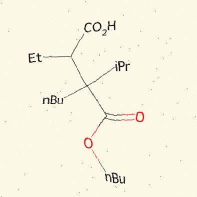 CCCCOC(=O)C(CCCC)(C(C)C)C(CC)C(=O)O